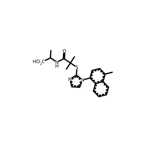 Cc1ccc(-n2ccnc2SC(C)(C)C(=O)NC(C)C(=O)O)c2ccccc12